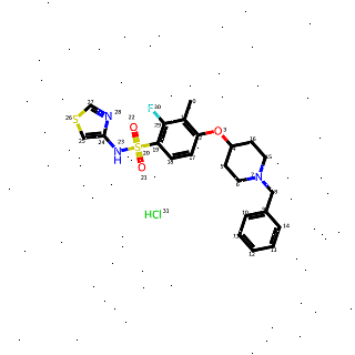 Cc1c(OC2CCN(Cc3ccccc3)CC2)ccc(S(=O)(=O)Nc2cscn2)c1F.Cl